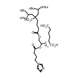 CCCCCCC(CCCC)CC(CCCC(=O)OCC(C)OC(=O)CCCn1ccnc1)(CC(CCCC)CCCCCC)C(=O)O.O=C(O)CCCCC(=O)O